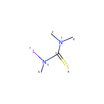 CN(C)C(=S)N(C)I